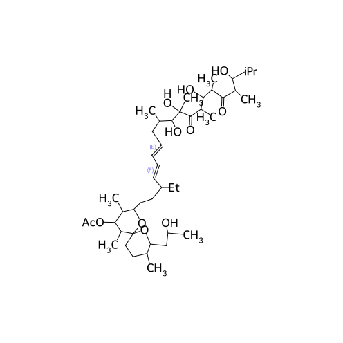 CCC(/C=C/C=C/CC(C)C(O)C(C)(O)C(=O)C(C)C(O)C(C)C(=O)C(C)C(O)C(C)C)CCC1OC2(CCC(C)C(CC(C)O)O2)C(C)C(OC(C)=O)C1C